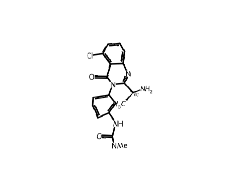 CNC(=O)Nc1cccc(-n2c([C@H](C)N)nc3cccc(Cl)c3c2=O)c1